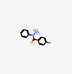 Cl.NN(C(=O)c1ccc(F)cc1)c1ccccc1